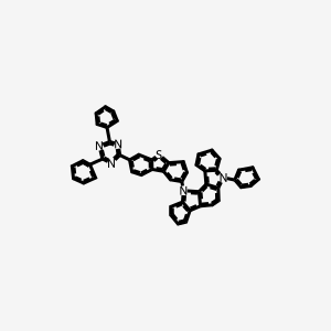 c1ccc(-c2nc(-c3ccccc3)nc(-c3ccc4c(c3)sc3ccc(-n5c6ccccc6c6ccc7c(c8ccccc8n7-c7ccccc7)c65)cc34)n2)cc1